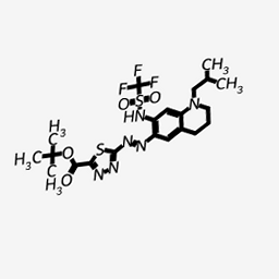 CC(C)CN1CCCc2cc(N=Nc3nnc(C(=O)OC(C)(C)C)s3)c(NS(=O)(=O)C(F)(F)F)cc21